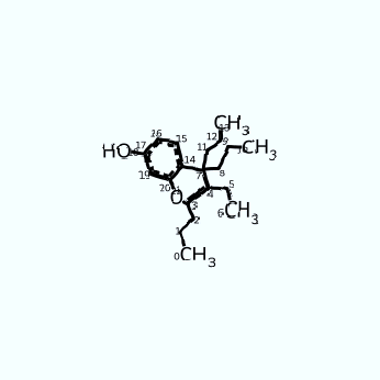 CCCC1=C(CC)C(CCC)(CCC)c2ccc(O)cc2O1